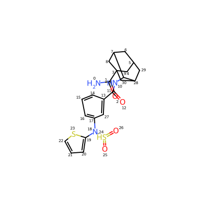 NC(=O)C12CC3CC(C1)C(NC(=O)c1cccc(N(c4cccs4)[SH](=O)=O)c1)C(C3)C2